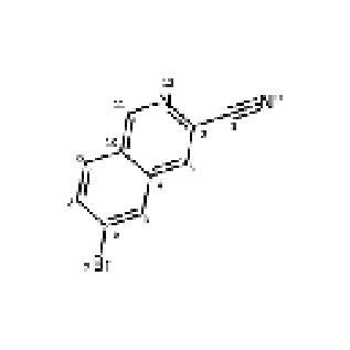 N#Cc1cc2cc(Br)ccc2cn1